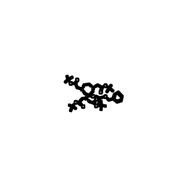 CC(C)(C)OC(=O)CN1CCN(CC(=O)OC(C)(C)C)CC(CCC(=O)OCc2ccccc2)(N(CC(=O)OC(C)(C)C)CC(=O)OC(C)(C)C)C1